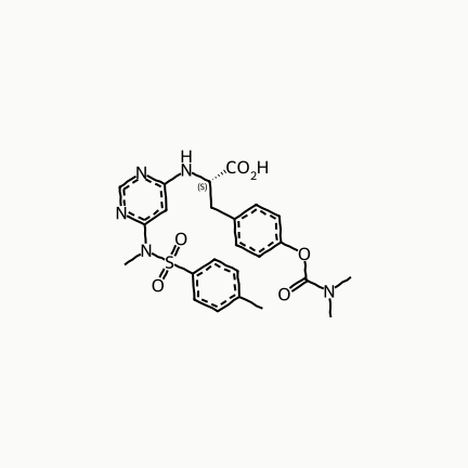 Cc1ccc(S(=O)(=O)N(C)c2cc(N[C@@H](Cc3ccc(OC(=O)N(C)C)cc3)C(=O)O)ncn2)cc1